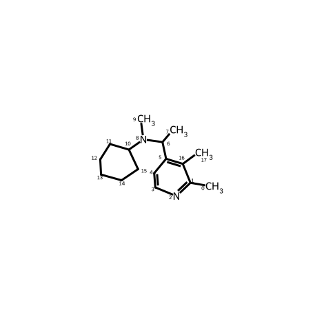 Cc1nccc(C(C)N(C)C2CCCCC2)c1C